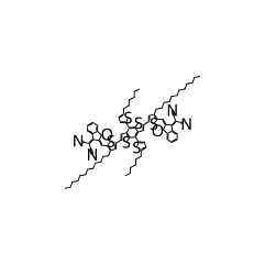 CCCCCCCCCCCCc1cc(-c2cc3c(-c4ccc(CCCCCC)s4)c4sc(-c5cc(CCCCCCCCCCCC)c(/C=C6\C(=O)c7ccccc7C6=C(C#N)C#N)s5)cc4c(-c4ccc(CCCCCC)s4)c3s2)sc1/C=C1\C(=O)c2ccccc2C1=C(C#N)C#N